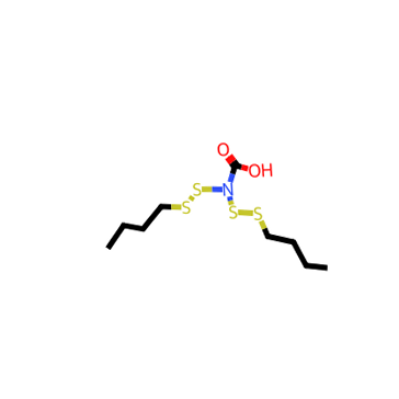 CCCCSSN(SSCCCC)C(=O)O